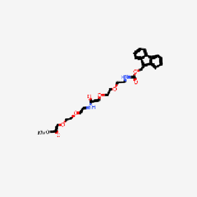 COC(=O)COCCOCCNC(=O)COCCOCCNC(=O)OCC1c2ccccc2-c2ccccc21